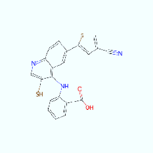 N#Cc1csc(-c2ccc3ncc(S)c(Nc4ccccc4C(=O)O)c3c2)c1